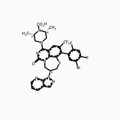 C[C@@H]1CN(c2nc(=O)n3c4c(c(-c5cc(Br)c(F)cc5F)c(C(F)(F)F)cc24)SC[C@@H](n2ncc4cccnc42)C3)C[C@H](C)N1C(=O)O